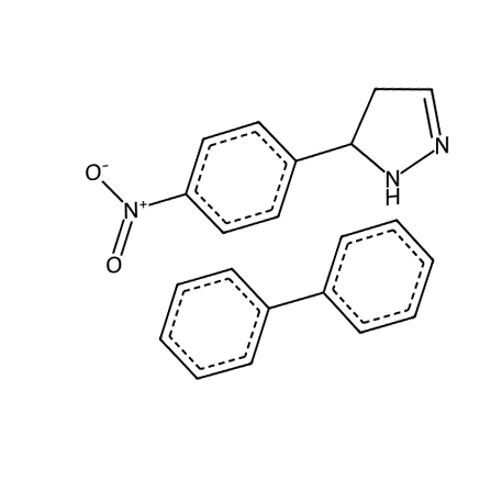 O=[N+]([O-])c1ccc(C2CC=NN2)cc1.c1ccc(-c2ccccc2)cc1